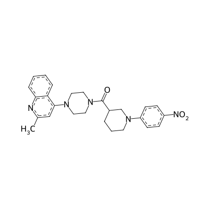 Cc1cc(N2CCN(C(=O)C3CCCN(c4ccc([N+](=O)[O-])cc4)C3)CC2)c2ccccc2n1